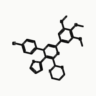 COc1cc(C2=CC(c3ccc(Cl)cc3)C(c3cccs3)=C(C3SCCCS3)O2)cc(OC)c1OC